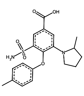 Cc1ccc(Oc2c(N3CCCC3C)cc(C(=O)O)cc2S(N)(=O)=O)cc1